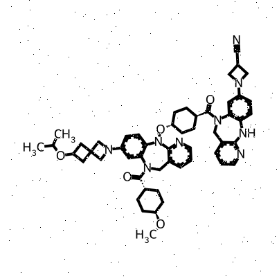 CO[C@H]1CC[C@H](C(=O)N2Cc3cccnc3N(O[C@H]3CC[C@H](C(=O)N4Cc5cccnc5Nc5ccc(N6CC(C#N)C6)cc54)CC3)c3ccc(N4CC5(CC(OC(C)C)C5)C4)cc32)CC1